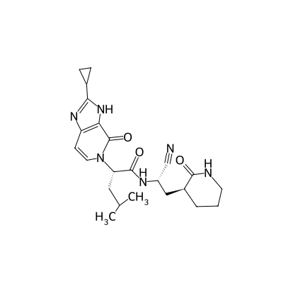 CC(C)C[C@@H](C(=O)N[C@H](C#N)C[C@@H]1CCCNC1=O)n1ccc2nc(C3CC3)[nH]c2c1=O